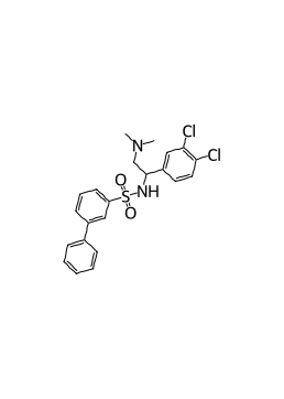 CN(C)CC(NS(=O)(=O)c1cccc(-c2ccccc2)c1)c1ccc(Cl)c(Cl)c1